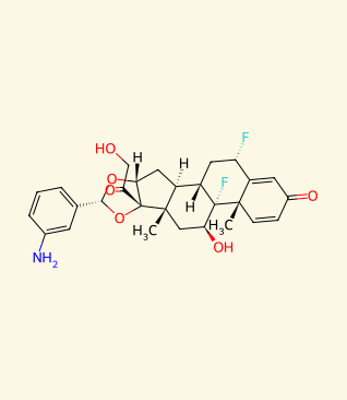 C[C@]12C=CC(=O)C=C1[C@@H](F)C[C@H]1[C@@H]3C[C@H]4O[C@@H](c5cccc(N)c5)O[C@@]4(C(=O)CO)[C@@]3(C)C[C@H](O)[C@@]12F